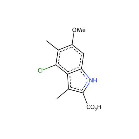 COc1cc2[nH]c(C(=O)O)c(C)c2c(Cl)c1C